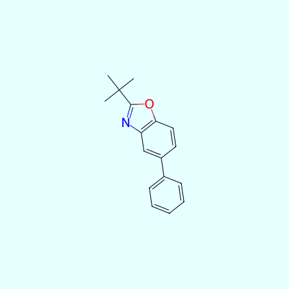 CC(C)(C)c1nc2cc(-c3ccccc3)ccc2o1